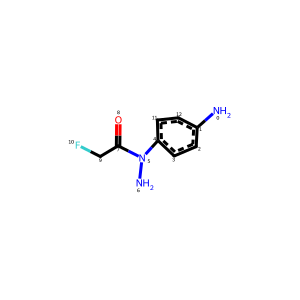 Nc1ccc(N(N)C(=O)CF)cc1